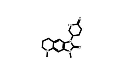 CN1CCCc2cc3c(cc21)n(C)c(=O)n3C1CCC(=O)NC1